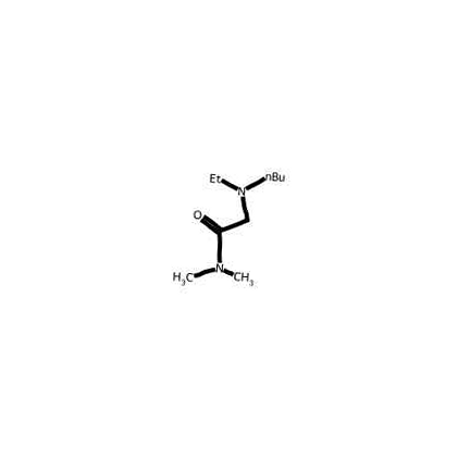 CCCCN(CC)CC(=O)N(C)C